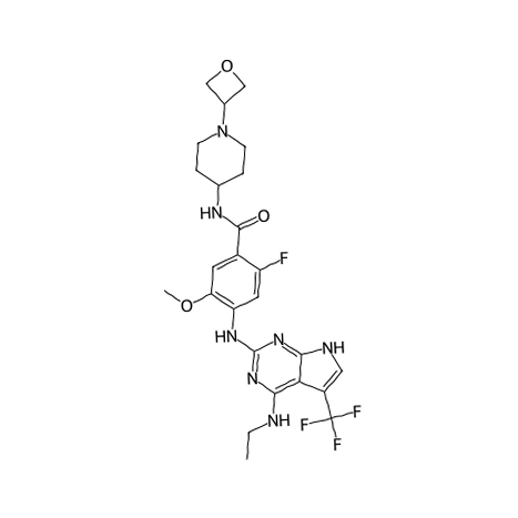 CCNc1nc(Nc2cc(F)c(C(=O)NC3CCN(C4COC4)CC3)cc2OC)nc2[nH]cc(C(F)(F)F)c12